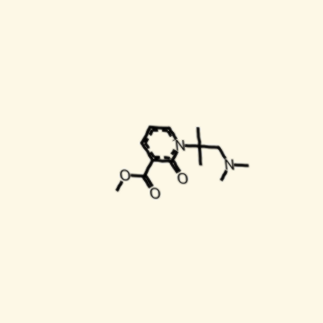 COC(=O)c1cccn(C(C)(C)CN(C)C)c1=O